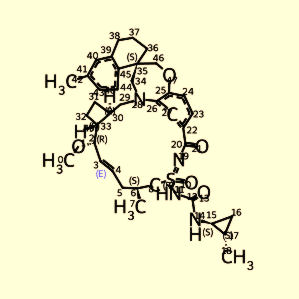 CO[C@H]1/C=C/C[C@H](C)C[S@@](=O)(NC(=O)N[C@H]2C[C@@H]2C)=NC(=O)c2ccc3c(c2)N(C[C@@H]2CC[C@H]21)C[C@@]1(CCCc2cc(C)ccc21)CO3